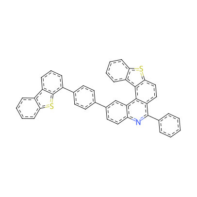 c1ccc(-c2nc3ccc(-c4ccc(-c5cccc6c5sc5ccccc56)cc4)cc3c3c2ccc2sc4ccccc4c23)cc1